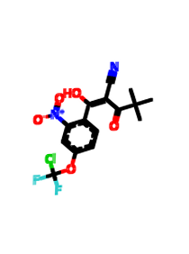 CC(C)(C)C(=O)C(C#N)=C(O)c1ccc(OC(F)(F)Cl)cc1[N+](=O)[O-]